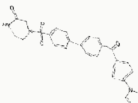 O=C1CN(S(=O)(=O)c2ccc(-c3ccc(C(=O)c4ccc(-n5ccnc5)cc4)cc3)cc2)CCN1